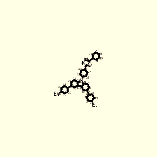 CCc1ccc(-c2ccc3c(c2)c2cc(-c4ccc(CC)cc4)ccc2n3-c2ccc(-c3nnc(-c4ccccc4)o3)cc2)cc1